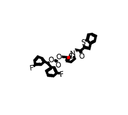 O=C(OC(c1cccc(F)c1)c1cccc(F)c1)OC1C[N+]2(CC(=O)c3cc4ccccc4s3)CCC1CC2